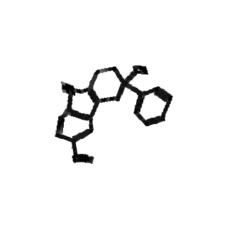 COc1ccc2[nH]c3c(c2c1)CC(C#N)(c1ccccc1)CC3